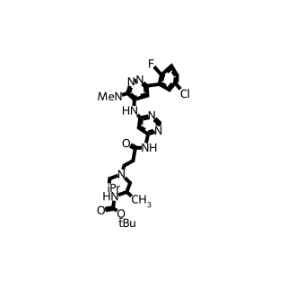 CNc1nnc(-c2cc(Cl)ccc2F)cc1Nc1cc(NC(=O)CCN(CC(C)C)CC(C)NC(=O)OC(C)(C)C)ncn1